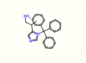 CC(CN)c1cncn1C(c1ccccc1)(c1ccccc1)c1ccccc1